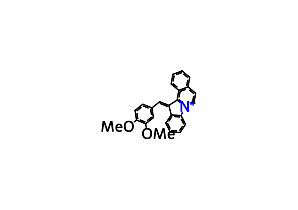 COc1ccc(/C=C2\c3ccccc3-[n+]3ccc4ccccc4c32)cc1OC